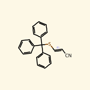 N#C/C=C/SC(c1ccccc1)(c1ccccc1)c1ccccc1